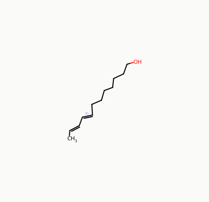 CC=C/C=C/CCCCCCCO